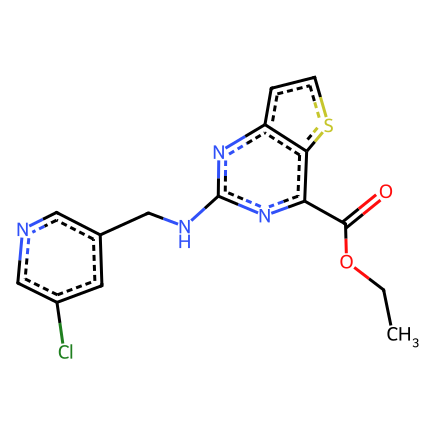 CCOC(=O)c1nc(NCc2cncc(Cl)c2)nc2ccsc12